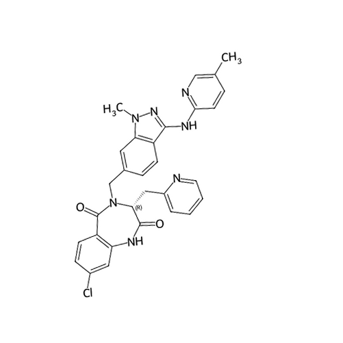 Cc1ccc(Nc2nn(C)c3cc(CN4C(=O)c5ccc(Cl)cc5NC(=O)[C@H]4Cc4ccccn4)ccc23)nc1